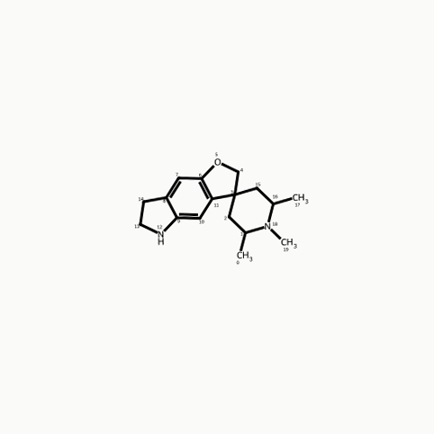 CC1CC2(COc3cc4c(cc32)NCC4)CC(C)N1C